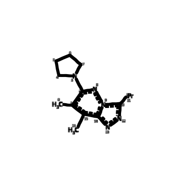 Cc1c(N2CCCC2)nn2c(C(C)C)nnc2c1C